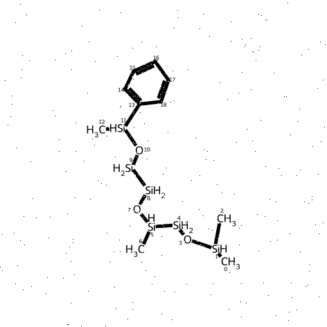 C[SiH](C)O[SiH2][SiH](C)O[SiH2][SiH2]O[SiH](C)c1ccccc1